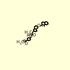 COC(=O)c1ccc(CNC(=O)C(C)c2ccc3cc(OCc4ccc5ccccc5n4)ccc3c2)cc1